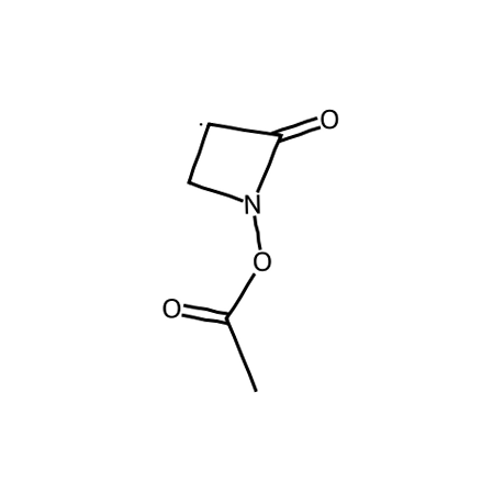 CC(=O)ON1C[CH]C1=O